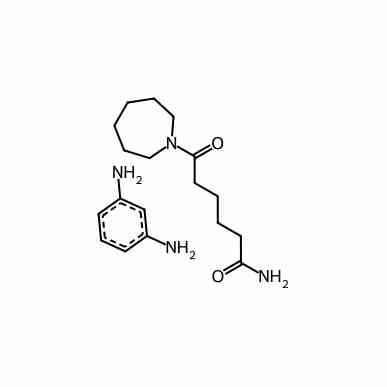 NC(=O)CCCCC(=O)N1CCCCCC1.Nc1cccc(N)c1